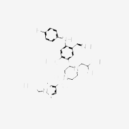 CCn1ncc(S(=O)(=O)N2CCN(CC(C)C)[C@H](c3cc(C=N)c(Nc4ccc(F)cc4)cc3C)C2)n1